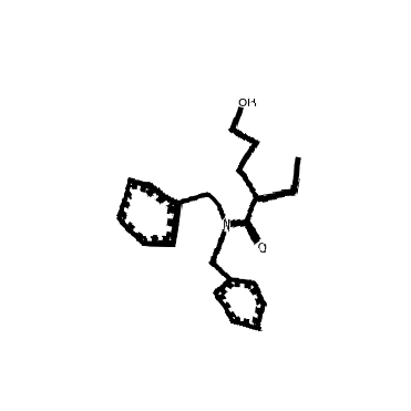 CCC(CCCO)C(=O)N(Cc1ccccc1)Cc1ccccc1